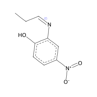 CC/C=N\c1cc([N+](=O)[O-])ccc1O